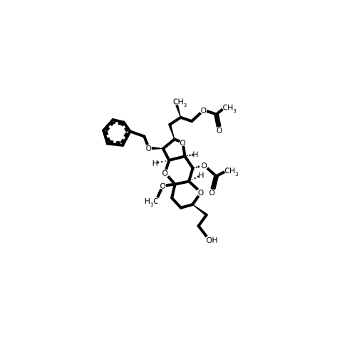 COC12CC[C@H](CCO)O[C@@H]1[C@@H](OC(C)=O)[C@@H]1O[C@H](C[C@@H](C)COC(C)=O)[C@H](OCc3ccccc3)[C@@H]1O2